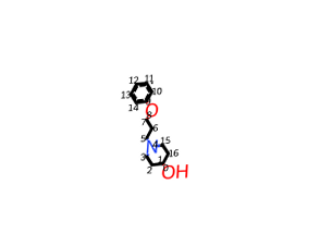 OC1CCN(CCCOc2c[c]ccc2)CC1